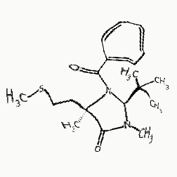 CSCC[C@]1(C)C(=O)N(C)[C@H](C(C)(C)C)N1C(=O)c1ccccc1